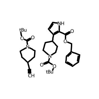 C#CC1CCN(C(=O)OC(C)(C)C)CC1.CC(C)(C)OC(=O)N1CCC(c2cc[nH]c2C(=O)OCc2ccccc2)CC1